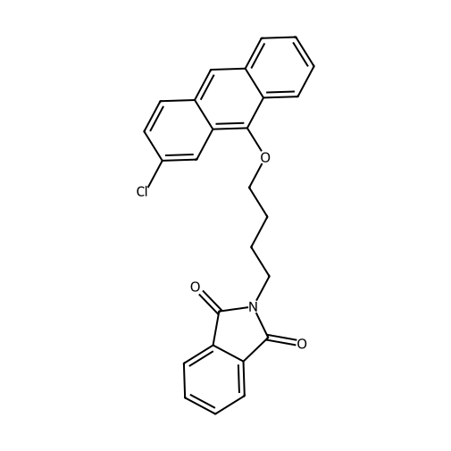 O=C1c2ccccc2C(=O)N1CCCCOc1c2ccccc2cc2ccc(Cl)cc12